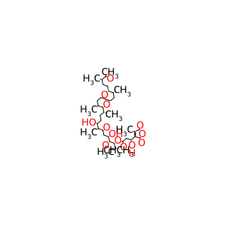 CO[C@H]([C@H](O)CC(=O)[C@@H](C)[C@@H](O)CC[C@@H](C)[C@@H]1OC2(CC[C@@H](C)[C@H](CC[C@@H](C)C(C)=O)O2)CC[C@@H]1C)[C@H](OC(=O)C[C@@H](O)C1=C(C)C(=O)OC1=O)C(C)C